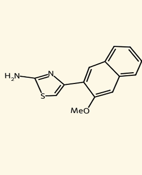 COc1cc2ccccc2cc1-c1csc(N)n1